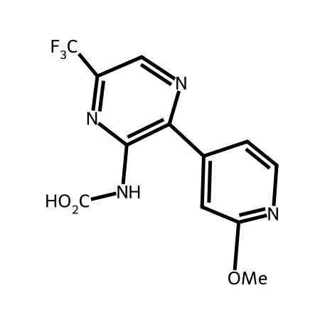 COc1cc(-c2ncc(C(F)(F)F)nc2NC(=O)O)ccn1